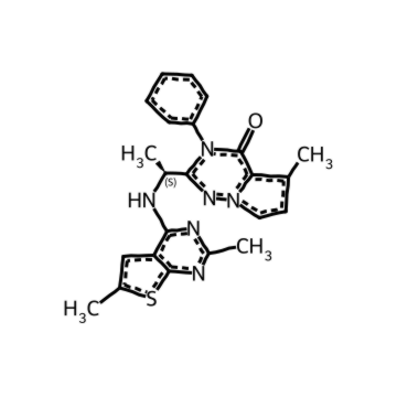 Cc1nc(N[C@@H](C)c2nn3ccc(C)c3c(=O)n2-c2ccccc2)c2cc(C)sc2n1